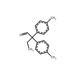 CCC(C=O)(c1ccc(C)cc1)c1ccc(C)cc1